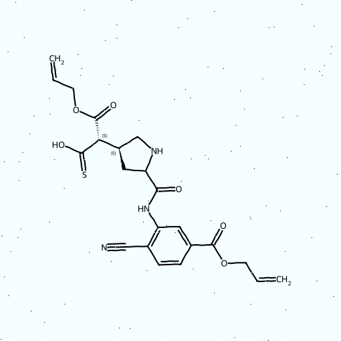 C=CCOC(=O)c1ccc(C#N)c(NC(=O)C2C[C@@H]([C@@H](C(=O)OCC=C)C(O)=S)CN2)c1